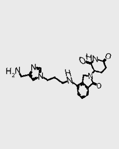 NCc1cn(CCCNc2cccc3c2CN(C2CCC(=O)NC2=O)C3=O)cn1